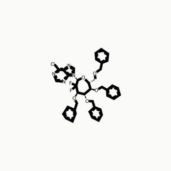 FC1(F)[C@H](OCc2ccccc2)[C@@H](OCc2ccccc2)[C@H](OCc2ccccc2)[C@@H](COCc2ccccc2)O[C@H]1n1cnc2c(Cl)ncnc21